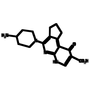 NC1CCN(c2nc3[nH]cc(C(=O)O)c(=O)c3c3c2CCC3)CC1